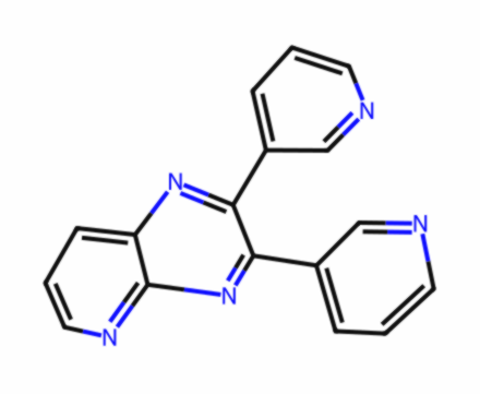 c1cncc(-c2nc3cccnc3nc2-c2cccnc2)c1